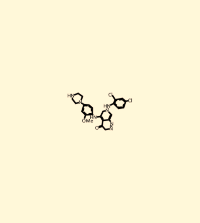 COc1cc(N2CCNCC2)ccc1NC1=C2C(=O)CN=NC2=CN(Nc2ccc(Cl)cc2Cl)C1